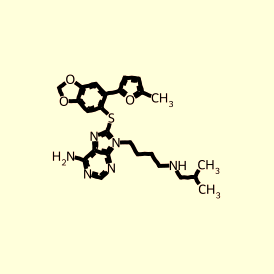 Cc1ccc(-c2cc3c(cc2Sc2nc4c(N)ncnc4n2CCCCNCC(C)C)OCO3)o1